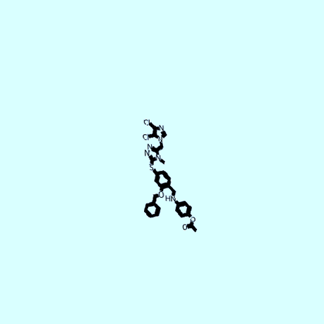 CC(=O)Oc1ccc(NCc2ccc(Sc3nnc(Cn4cnc(Cl)c4Cl)n3C)cc2OCc2ccccc2)cc1